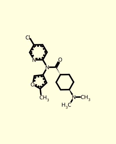 Cc1cc(N(c2ccc(Cl)cn2)C(=O)[C@H]2CC[C@H](N(C)C)CC2)co1